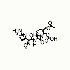 CON=C(C(=O)NC1C(=O)N2C(OC(=O)O)=C(COC(C)=O)CS[C@@H]12)c1csc(N)n1